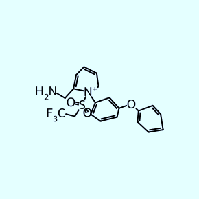 NCC1=CC=CC[N+]1(c1cccc(Oc2ccccc2)c1)S(=O)(=O)CC(F)(F)F